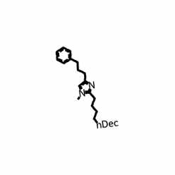 CCCCCCCCCCCCCCc1nc(CCCc2ccccc2)cn1C